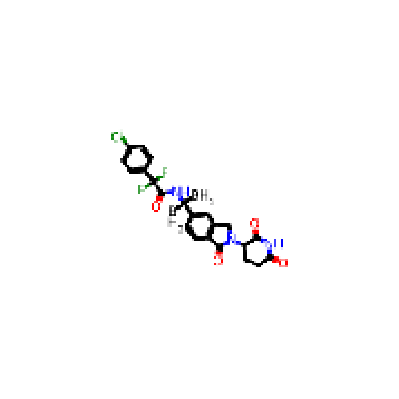 BC(B)(NC(=O)C(F)(F)c1ccc(Cl)cc1)c1ccc2c(c1)CN(C1CCC(=O)NC1=O)C2=O